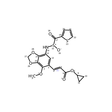 COc1c(/C=C/C(=O)OC2CC2)cc(N[S+]([O-])C(=O)c2cccs2)c2c1OCO2